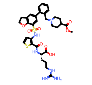 COC(=O)C1CCN(Cc2ccccc2-c2cc3c(c(S(=O)(=O)Nc4ccsc4C(=O)N[C@@H](CCCNC(=N)N)C(=O)O)c2)OCC3)CC1